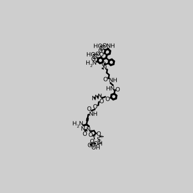 CSS[C@H](C)OC1C[C@H](n2cc(C#CCNC(=O)COCCOC(COc3cccc(C(=O)NCCNC(=O)CCCN(C)C(=O)c4ccccc4-c4c5ccc(=N)c(S(=O)(=O)O)c-5oc5c(S(=O)(=O)O)c(N)ccc45)c3)N=[N+]=[N-])c(N)nc2=O)O[C@@H]1COP(=O)(O)O